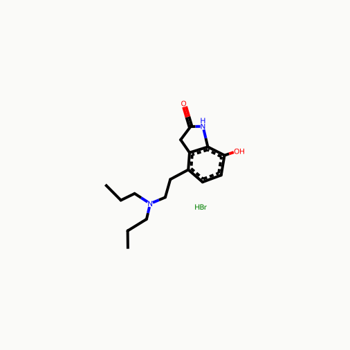 Br.CCCN(CCC)CCc1ccc(O)c2c1CC(=O)N2